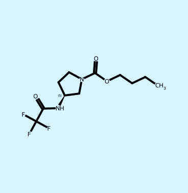 CCCCOC(=O)N1CC[C@H](NC(=O)C(F)(F)F)C1